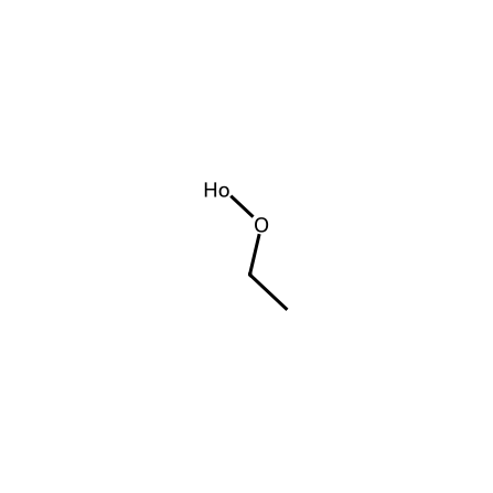 CC[O][Ho]